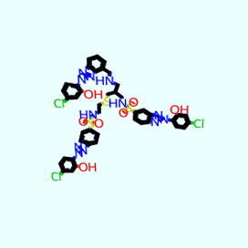 O=S(=O)(NCCSCC(CNCc1cccc2c1n1n(-c3ccc(Cl)cc3O)n21)CNS(=O)(=O)c1ccc2c(c1)n1n(-c3ccc(Cl)cc3O)n21)c1ccc2c(c1)n1n(-c3ccc(Cl)cc3O)n21